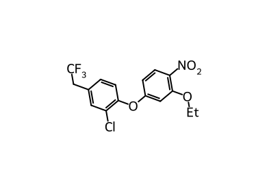 CCOc1cc(Oc2ccc(CC(F)(F)F)cc2Cl)ccc1[N+](=O)[O-]